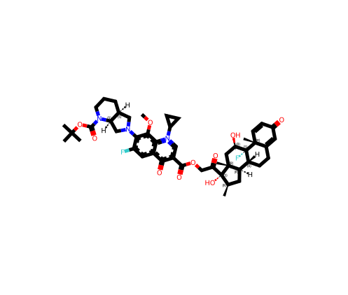 COc1c(N2C[C@@H]3CCCN(C(=O)OC(C)(C)C)[C@@H]3C2)c(F)cc2c(=O)c(C(=O)OCC(=O)[C@]3(O)[C@H](C)C[C@@H]4[C@H]5CCC6=CC(=O)C=C[C@@]6(C)[C@]5(F)[C@H](O)C[C@]43C)cn(C3CC3)c12